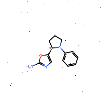 Nc1ncc([C@H]2CCCN2c2ccccc2)o1